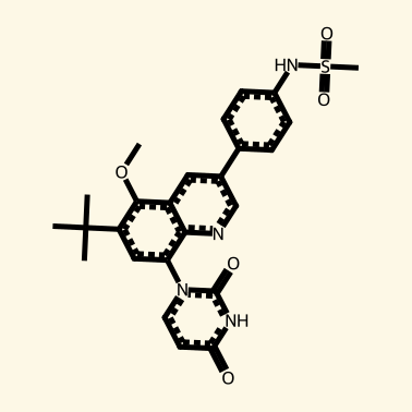 COc1c(C(C)(C)C)cc(-n2ccc(=O)[nH]c2=O)c2ncc(-c3ccc(NS(C)(=O)=O)cc3)cc12